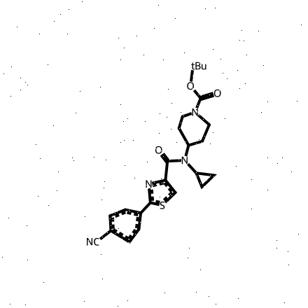 CC(C)(C)OC(=O)N1CCC(N(C(=O)c2csc(-c3ccc(C#N)cc3)n2)C2CC2)CC1